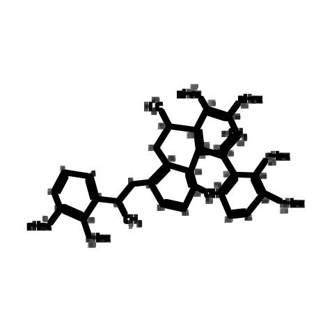 CCCCCCc1cccc(C(C)Cc2ccc(O)c(CC(C)c3cccc(CCCCCC)c3CCCCCC)c2CC(C)c2cccc(CCCCCC)c2CCCCCC)c1CCCCCC